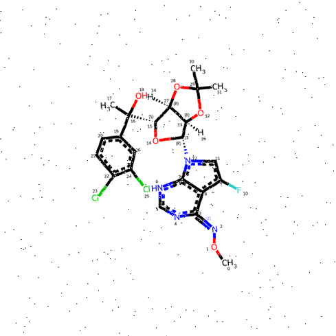 CO/N=c1\nc[nH]c2c1c(F)cn2[C@@H]1O[C@H](C(C)(O)c2ccc(Cl)c(Cl)c2)[C@H]2OC(C)(C)O[C@H]21